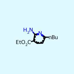 CCCCc1ccc(C(=O)OCC)c(N)n1